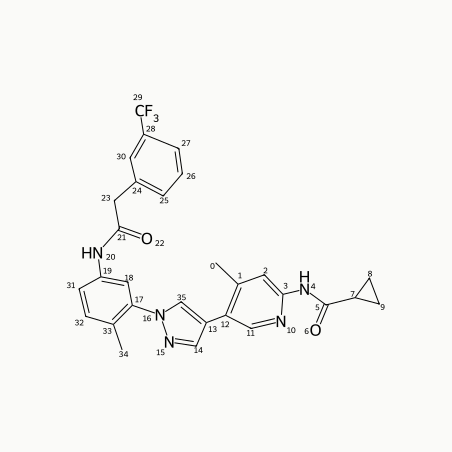 Cc1cc(NC(=O)C2CC2)ncc1-c1cnn(-c2cc(NC(=O)Cc3cccc(C(F)(F)F)c3)ccc2C)c1